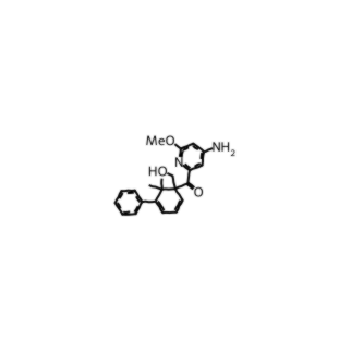 COc1cc(N)cc(C(=O)C2(CO)C=CC=C(c3ccccc3)C2(C)C)n1